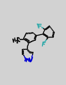 Cc1ccc(-c2c(F)cccc2F)cc1-c1ccnnc1